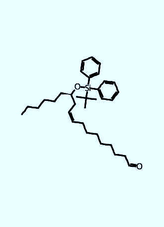 CCCCCC[C@H](C/C=C\CCCCCCCC=O)O[Si](c1ccccc1)(c1ccccc1)C(C)(C)C